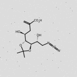 C=C(C[C@H](O)[C@H]1OC(C)(C)O[C@@H]1[C@H](O)CN=[N+]=[N-])C(=O)O